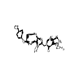 Cn1nnc2ncn(Cc3nc4ncc(Oc5ccc(Cl)cc5)nc4[nH]3)c(=O)c21